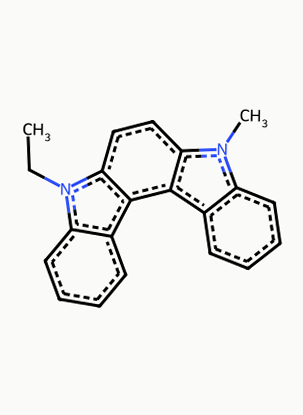 CCn1c2ccccc2c2c3c4ccccc4n(C)c3ccc21